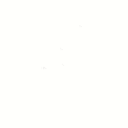 Cc1c(C)c(C)c(Nc2nc3c4ccccc4c(C#N)c(C)n3c2C)c(C)c1C